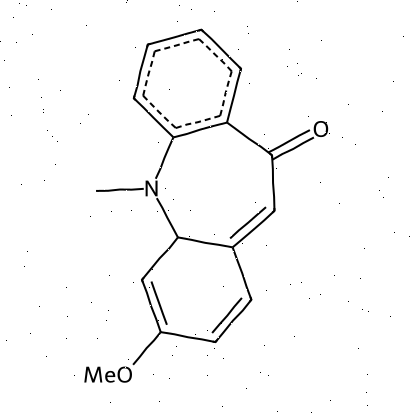 COC1=CC2C(=CC(=O)c3ccccc3N2C)C=C1